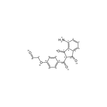 Nc1cccc2c1C(=O)C(C(=O)c1ccc(OCC=O)cc1)C2=O